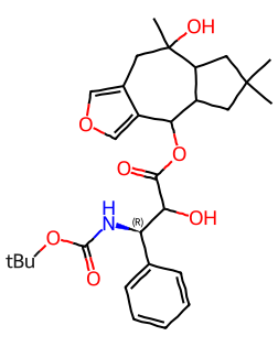 CC1(C)CC2C(OC(=O)C(O)[C@H](NC(=O)OC(C)(C)C)c3ccccc3)c3cocc3CC(C)(O)C2C1